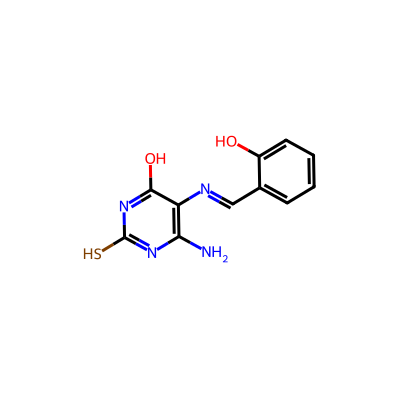 Nc1nc(S)nc(O)c1/N=C/c1ccccc1O